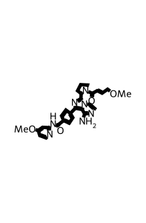 COC/C=C/C(=O)N1CCCC1c1nc(-c2ccc(C(=O)Nc3cc(OC)ccn3)cc2)c2c(N)nccn12